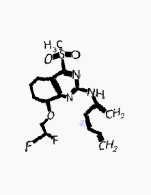 C=C/C=C\C(=C)Nc1nc2c(c(S(C)(=O)=O)n1)CCCC2OCC(F)F